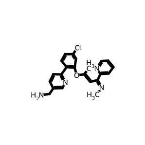 C/N=C(\C=C(/C)Oc1cc(Cl)ccc1-c1ccc(CN)cn1)c1ccccn1